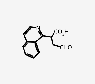 O=CCC(C(=O)O)c1nccc2ccccc12